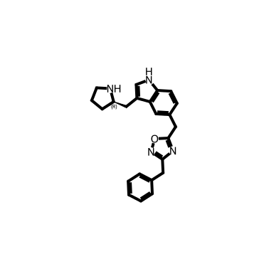 c1ccc(Cc2noc(Cc3ccc4[nH]cc(C[C@H]5CCCN5)c4c3)n2)cc1